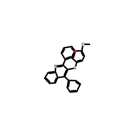 COc1ccc(Sc2c(-c3ccccc3)nc3ccccc3c2-c2ccccc2)cc1